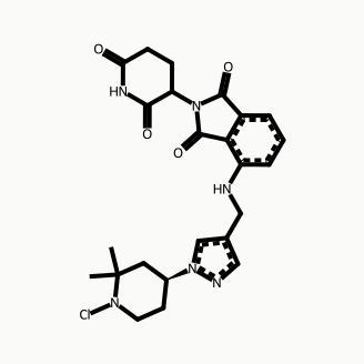 CC1(C)C[C@@H](n2cc(CNc3cccc4c3C(=O)N(C3CCC(=O)NC3=O)C4=O)cn2)CCN1Cl